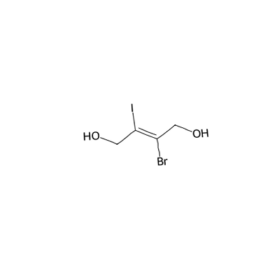 OCC(Br)=C(I)CO